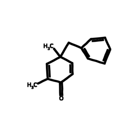 CC1=CC(C)(Cc2ccccc2)C=CC1=O